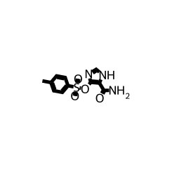 Cc1ccc(S(=O)(=O)Oc2nc[nH]c2C(N)=O)cc1